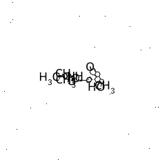 CC(C)(C)c1ccc(NC(=O)OCC#Cc2ccc([C@H]3CC4(C)C(O)CCC4C4CCC5=CC(=O)CCC5=C43)cc2)cc1